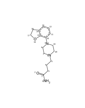 NC(=O)CCCN1CCN(c2cccc3c2OCC3)CC1